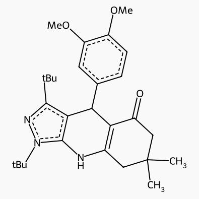 COc1ccc(C2C3=C(CC(C)(C)CC3=O)Nc3c2c(C(C)(C)C)nn3C(C)(C)C)cc1OC